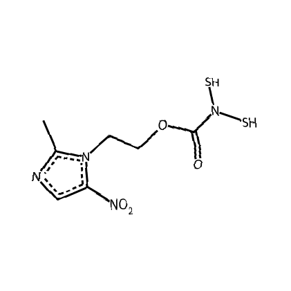 Cc1ncc([N+](=O)[O-])n1CCOC(=O)N(S)S